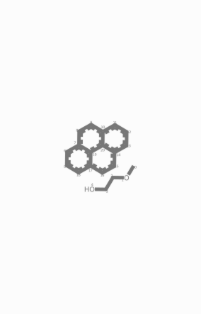 COCCO.c1cc2ccc3cccc4ccc(c1)c2c34